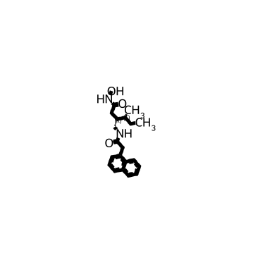 CC[C@H](C)[C@H](CNC(=O)Cc1cccc2ccccc12)CC(=O)NO